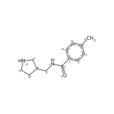 Cc1ccc(C(=O)NCC2CCNC2)cc1